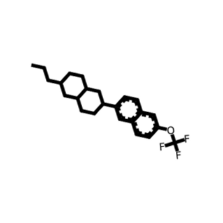 CCCC1CCC2CC(c3ccc4cc(OC(F)(F)F)ccc4c3)CCC2C1